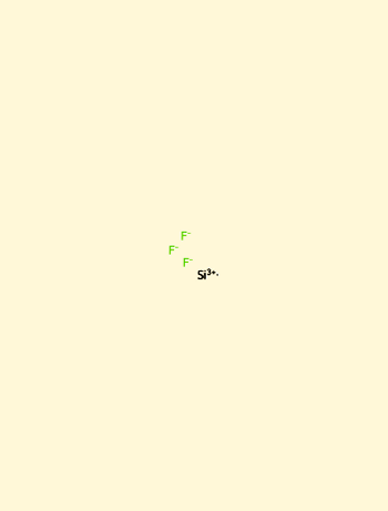 [F-].[F-].[F-].[Si+3]